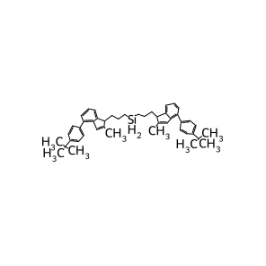 CC1=Cc2c(-c3ccc(C(C)(C)C)cc3)cccc2C1CCC[SiH2]CCCC1C(C)=Cc2c(-c3ccc(C(C)(C)C)cc3)cccc21